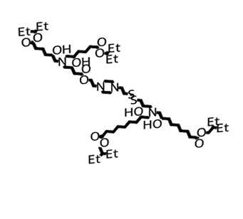 CCC(CC)COC(=O)CCCCCCC(O)CN(CCCSSCCN1CCN(CCOC(=O)CCCN(CC(O)CCCC(=O)OC(CC)CC)CC(O)CCCC(=O)OC(CC)CC)CC1)CC(O)CCCCCCC(=O)OCC(CC)CC